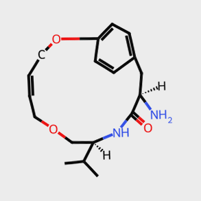 CC(C)[C@H]1COC/C=C\COc2ccc(cc2)C[C@@H](N)C(=O)N1